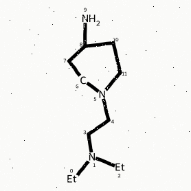 CCN(CC)CCN1CCC(N)CC1